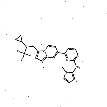 Cn1nccc1Nc1nccc(-c2ccn3c(C[C@H](C4CC4)C(F)(F)F)nnc3c2)n1